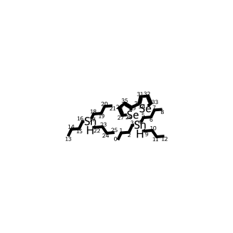 CCC[CH2][SnH]([CH2]CCC)[CH2]CCC.CCC[CH2][SnH]([CH2]CCC)[CH2]CCC.c1c[se]c(-c2ccc[se]2)c1